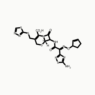 Nc1nc(C(=NOC2C=CCC2)C(=O)NC2C(=O)N3C(C(=O)O)=C(CSc4nncs4)CS[C@@H]23)ns1